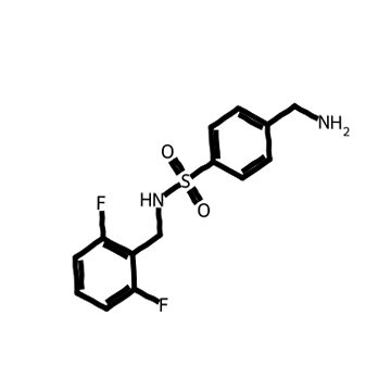 NCc1ccc(S(=O)(=O)NCc2c(F)cccc2F)cc1